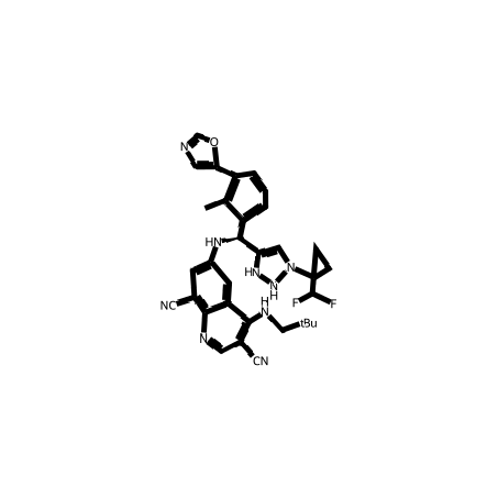 Cc1c(-c2cnco2)cccc1[C@H](Nc1cc(C#N)c2ncc(C#N)c(NCC(C)(C)C)c2c1)C1=CN(C2(C(F)F)CC2)NN1